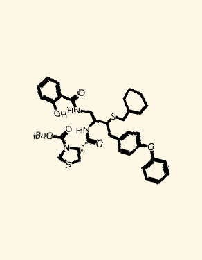 CC(C)COC(=O)N1CSC[C@H]1C(=O)NC(CNC(=O)c1ccccc1O)C(Cc1ccc(Oc2ccccc2)cc1)SCC1CCCCC1